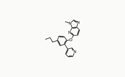 CCCc1ccc(Oc2ccc3ncn(C)c3n2)c(-c2cccnc2)c1